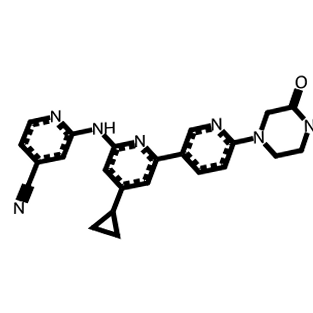 N#Cc1ccnc(Nc2cc(C3CC3)cc(-c3ccc(N4CCNC(=O)C4)nc3)n2)c1